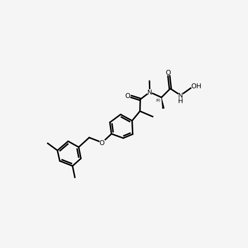 Cc1cc(C)cc(COc2ccc(C(C)C(=O)N(C)[C@H](C)C(=O)NO)cc2)c1